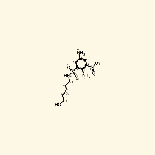 Nc1cc([N+](=O)[O-])c(N)c(S(=O)(=O)NCCOCCO)c1